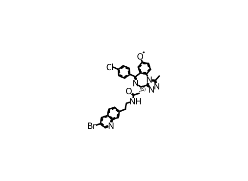 COc1ccc2c(c1)C(c1ccc(Cl)cc1)=N[C@@H](CC(=O)NCCc1ccc3cc(Br)cnc3c1)c1nnc(C)n1-2